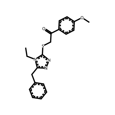 CCn1c(Cc2ccccc2)nnc1SCC(=O)c1ccc(OC)cc1